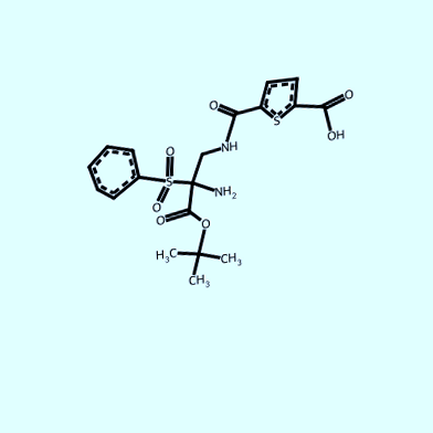 CC(C)(C)OC(=O)C(N)(CNC(=O)c1ccc(C(=O)O)s1)S(=O)(=O)c1ccccc1